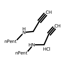 C#CCNCCCCC.C#CCNCCCCC.Cl